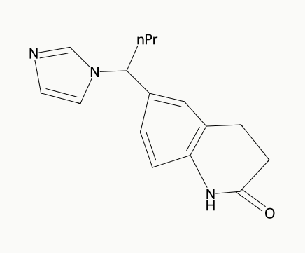 CCCC(c1ccc2c(c1)CCC(=O)N2)n1ccnc1